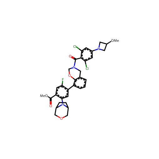 COC(=O)c1cc(F)c(-c2cccc3c2OCN(C(=O)c2c(Cl)cc(N4CC(OC)C4)cc2Cl)C3)cc1N1C2CCC1COC2